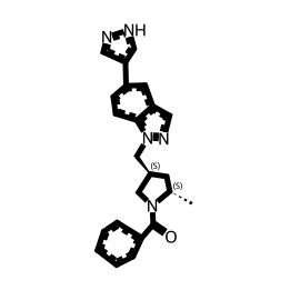 C[C@H]1C[C@H](Cn2ncc3cc(-c4cn[nH]c4)ccc32)CN1C(=O)c1ccccc1